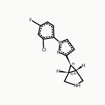 Fc1ccc(-n2ccc([C@H]3[C@@H]4CNC[C@@H]43)n2)c(Cl)c1